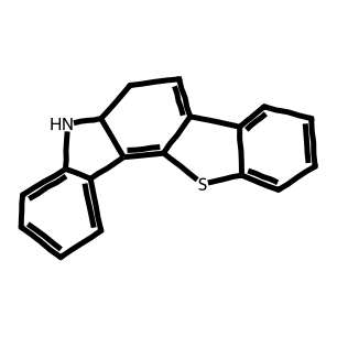 C1=c2c(sc3ccccc23)=C2c3ccccc3NC2C1